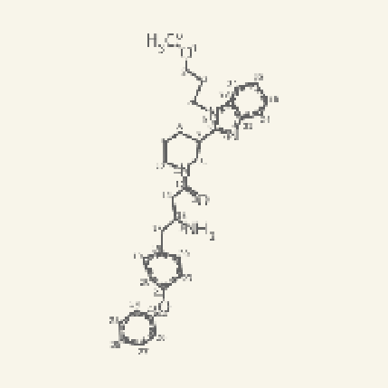 COCCCn1c(C2CCCN(C(=O)CC(N)Cc3ccc(Oc4ccccc4)cc3)C2)nc2ccccc21